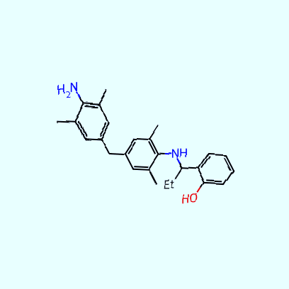 CCC(Nc1c(C)cc(Cc2cc(C)c(N)c(C)c2)cc1C)c1ccccc1O